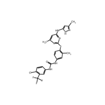 Cc1cc(Nc2cc(C)nc(Sc3ccc(NC(=O)Nc4ccc(Cl)c(C(F)(F)F)c4)cc3C)n2)[nH]n1